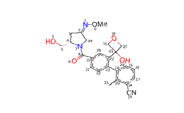 CO/N=C1/C[C@@H](CO)N(C(=O)c2ccc(-c3cccc(C#N)c3C)c(C3(O)COC3)c2)C1